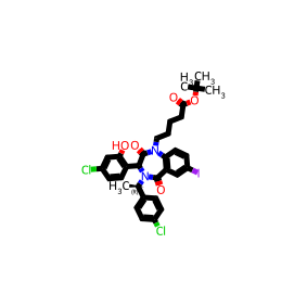 C[C@H](c1ccc(Cl)cc1)N1C(=O)c2cc(I)ccc2N(CCCCC(=O)OC(C)(C)C)C(=O)C1c1ccc(Cl)cc1O